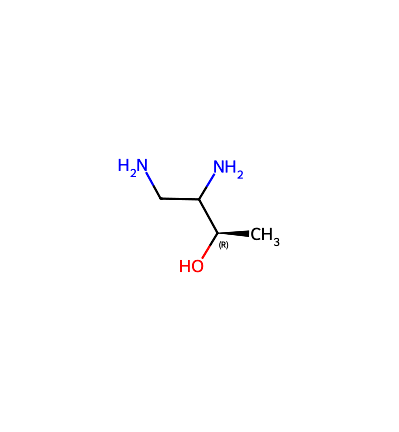 C[C@@H](O)C(N)CN